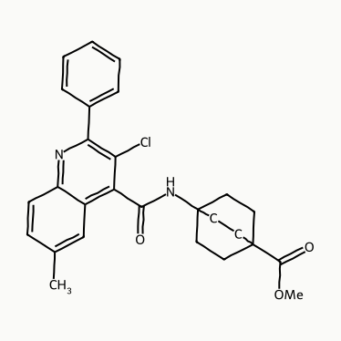 COC(=O)C12CCC(NC(=O)c3c(Cl)c(-c4ccccc4)nc4ccc(C)cc34)(CC1)CC2